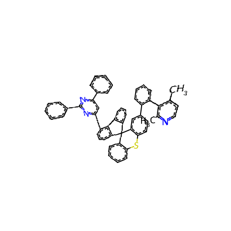 Cc1ccnc(C)c1-c1ccccc1-c1ccc2c(c1)C1(c3ccccc3S2)c2ccccc2-c2c(-c3cc(-c4ccccc4)nc(-c4ccccc4)n3)cccc21